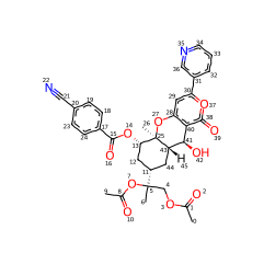 CC(=O)OCC(C)(OC(C)=O)[C@@H]1C[C@H](OC(=O)c2ccc(C#N)cc2)[C@@]2(C)Oc3cc(-c4cccnc4)oc(=O)c3[C@@H](O)[C@@H]2C1